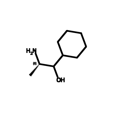 C[C@H](N)C(O)C1CCCCC1